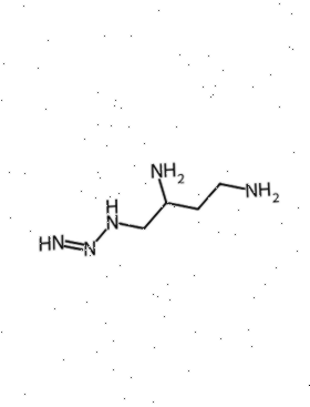 N=NNCC(N)CCN